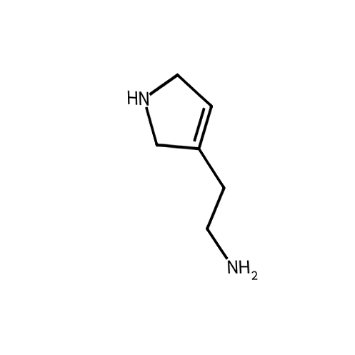 NCCC1=CCNC1